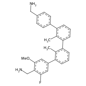 COc1cc(-c2cccc(-c3cccc(-c4ccc(CN)cc4)c3C)c2C)cc(F)c1CN